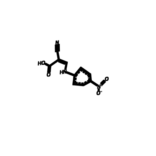 N#CC(=CNc1ccc([N+](=O)[O-])cc1)C(=O)O